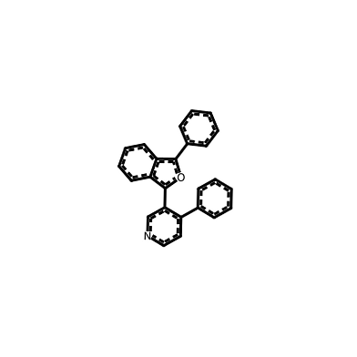 c1ccc(-c2ccncc2-c2oc(-c3ccccc3)c3ccccc23)cc1